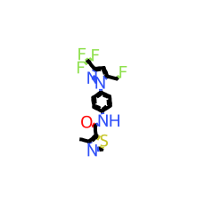 Cc1ncsc1C(=O)Nc1ccc(-n2nc(C(F)(F)F)cc2CF)cc1